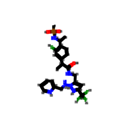 CC(NS(C)(=O)=O)c1ccc(C(C)C(=O)NCc2cc(C(F)(F)F)nn2NCc2ccccn2)cc1F